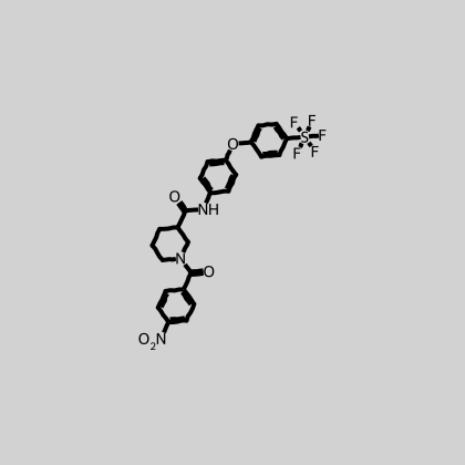 O=C(Nc1ccc(Oc2ccc(S(F)(F)(F)(F)F)cc2)cc1)C1CCCN(C(=O)c2ccc([N+](=O)[O-])cc2)C1